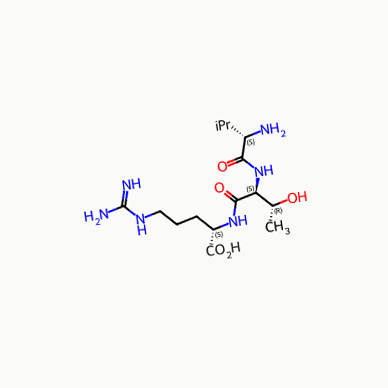 CC(C)[C@H](N)C(=O)N[C@H](C(=O)N[C@@H](CCCNC(=N)N)C(=O)O)[C@@H](C)O